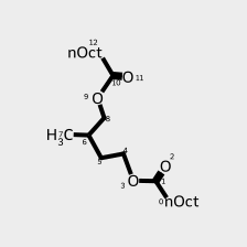 CCCCCCCCC(=O)OCCC(C)COC(=O)CCCCCCCC